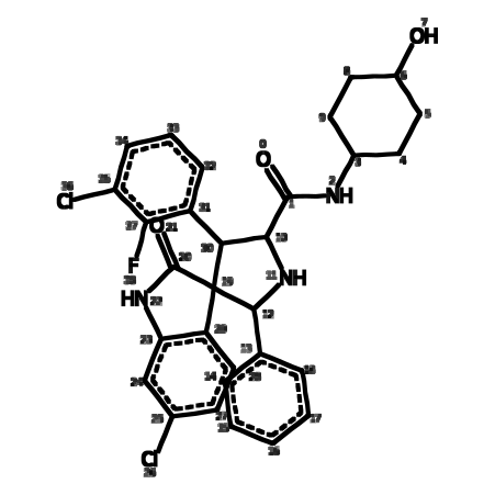 O=C(NC1CCC(O)CC1)C1NC(c2ccccc2)C2(C(=O)Nc3cc(Cl)ccc32)C1c1cccc(Cl)c1F